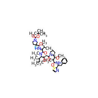 CC[C@H](C)C([C@@H](CC(=O)N1CCC[C@H]1[C@H](OC)[C@@H](C)C(=O)N[C@@H](Cc1ccccc1)c1nccs1)OC)N(C)C(=O)[C@@H](NC(=O)[C@@]1(F)CCN(C(=O)OC(C)(C)C)C1)C(C)C